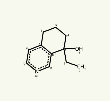 CCC1(O)CCCc2ccncc21